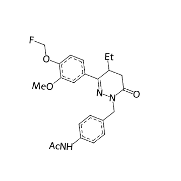 CCC1CC(=O)N(Cc2ccc(NC(C)=O)cc2)N=C1c1ccc(OCF)c(OC)c1